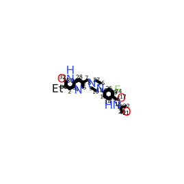 CCc1cc2ncc(CN3CCN(c4ccc(C(=O)NC5COC5)c(F)c4)CC3)cc2[nH]c1=O